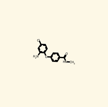 CNC(=O)c1ccc(Oc2ccc(Cl)cc2N)cc1